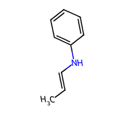 CC=CNc1ccccc1